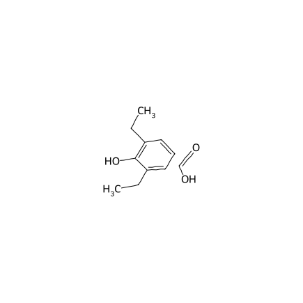 CCc1cccc(CC)c1O.O=CO